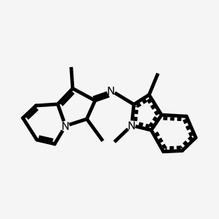 CC1=C2C=CC=CN2C(C)C1=Nc1c(C)c2ccccc2n1C